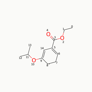 CCOC(=O)C1=CC[CH]C(OC(C)C)=C1